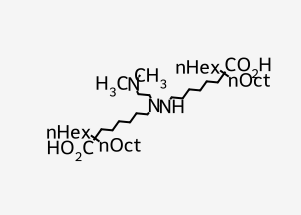 CCCCCCCCC(CCCCCC)(CCCCCCNN(CCCCCCC(CCCCCC)(CCCCCCCC)C(=O)O)CCN(C)C)C(=O)O